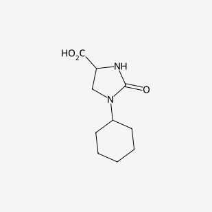 O=C(O)C1CN(C2CCCCC2)C(=O)N1